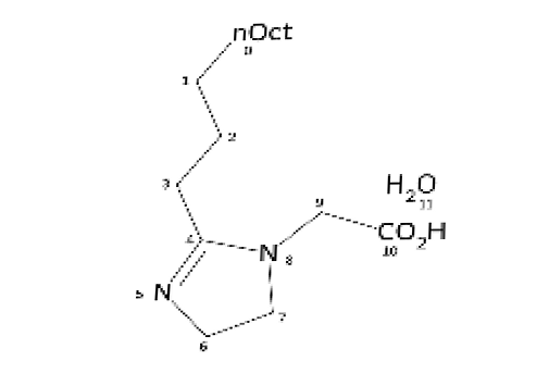 CCCCCCCCCCCC1=NCCN1CC(=O)O.O